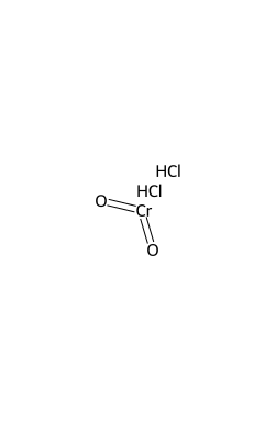 Cl.Cl.[O]=[Cr]=[O]